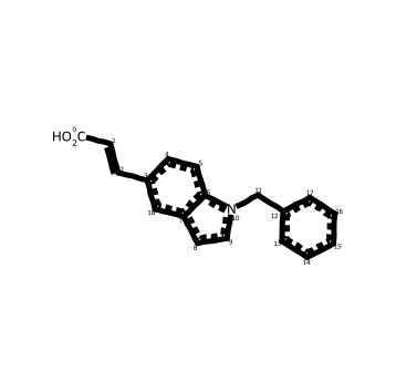 O=C(O)C=Cc1ccc2c(ccn2Cc2ccccc2)c1